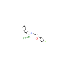 CC(c1ccccc1)C1CCN(CCCC(=O)c2ccc(F)cc2)CC1.Cl